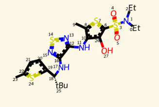 CCN(CC)S(=O)(=O)c1sc(C)c(Nc2nsnc2N[C@@H](c2ccc(C)s2)C(C)(C)C)c1O